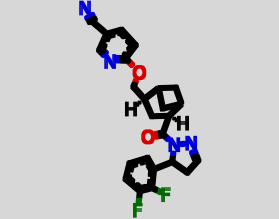 N#Cc1ccc(OC[C@@H]2C[C@H](C(=O)N3N=CCC3c3cccc(F)c3F)C3CC2C3)nc1